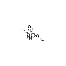 CCCCOc1ccc(OCCCC)c(N2CCOCC2)c1.N#N